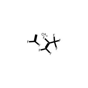 C.C=C(F)F.FC(F)=C(F)C(F)(F)F